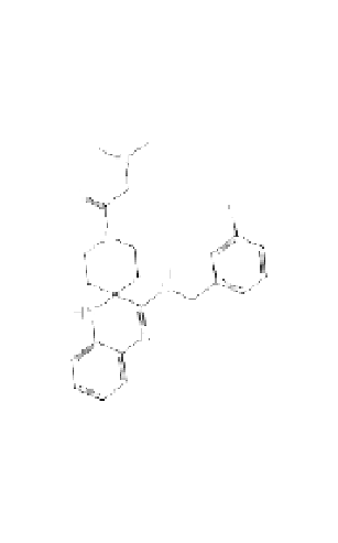 CN(C)CC(=O)N1CCC2(CC1)Nc1ccccc1N=C2NCc1cccc(Cl)c1